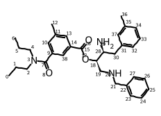 CCCN(CCC)C(=O)c1cc(C)cc(C(=O)O[C@H](CNCc2ccccc2)[C@@H](N)Cc2cccc(C)c2)c1